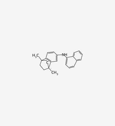 CC12CCC(C)(CC1)c1cc(Nc3cccc4ccccc34)ccc12